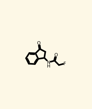 O=C(CF)NC1CC(=O)c2ccccc21